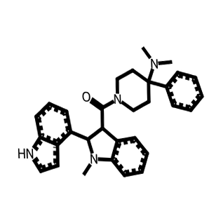 CN1c2ccccc2C(C(=O)N2CCC(c3ccccc3)(N(C)C)CC2)C1c1cccc2[nH]ccc12